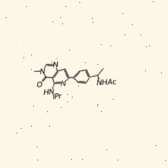 CC(=O)N[C@H](C)c1ccc(-c2cc3ncn(C)c(=O)c3c(NC(C)C)n2)cc1